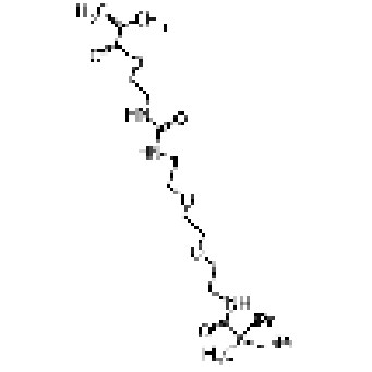 C=C(C)C(=O)OCCNC(=O)NCCOCCOCCNC(=O)C(C)(CC(C)C)C(C)C